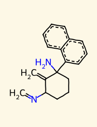 C=NC1CCCC(N)(c2cccc3ccccc23)C1=C